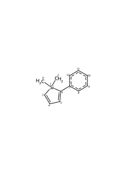 C[Si]1(C)C=CC=C1c1ccccc1